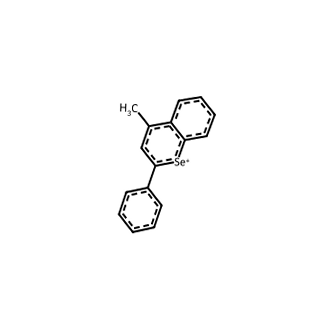 Cc1cc(-c2ccccc2)[se+]c2ccccc12